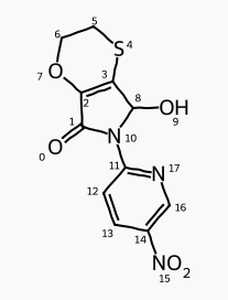 O=C1C2=C(SCCO2)C(O)N1c1ccc([N+](=O)[O-])cn1